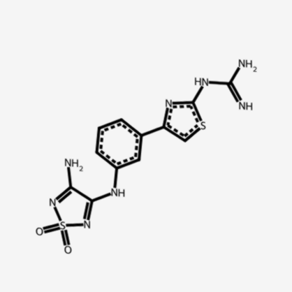 N=C(N)Nc1nc(-c2cccc(NC3=NS(=O)(=O)N=C3N)c2)cs1